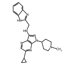 CN1CCC(n2nc(NCc3nc4ccccc4[nH]3)c3ncc(C4CC4)nc32)CC1